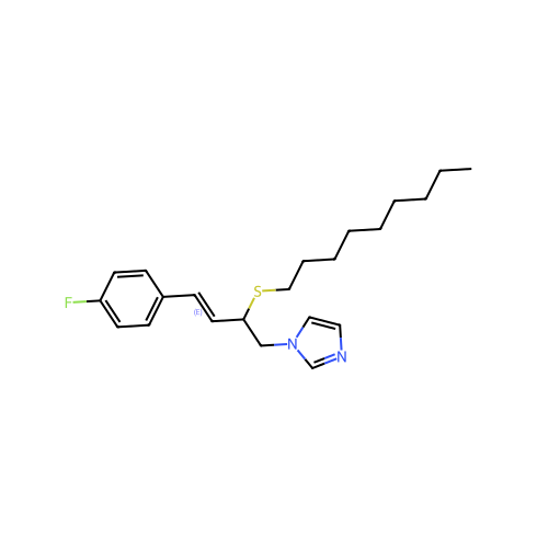 CCCCCCCCCSC(/C=C/c1ccc(F)cc1)Cn1ccnc1